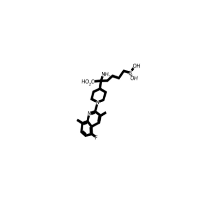 Cc1cc2c(F)ccc(C)c2nc1N1CCC(C(N)(CCCCB(O)O)C(=O)O)CC1